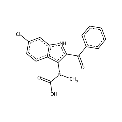 CN(C(=O)O)c1c(C(=O)c2ccccc2)[nH]c2cc(Cl)ccc12